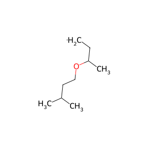 [CH2]CC(C)OCCC(C)C